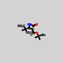 CCOC(=O)C(C)(C(=O)OCC)[C@H]1NC(=O)[C@@H]1[C@@H](C)O[Si](C)(C)C(C)(C)C